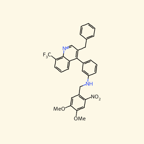 COc1cc(CNc2cccc(-c3c(Cc4ccccc4)cnc4c(C(F)(F)F)cccc34)c2)c([N+](=O)[O-])cc1OC